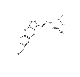 CCOc1ccc(Oc2ncc(/C=N/OC[C@H](C)N(C)C(N)=O)s2)c(Br)c1